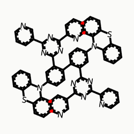 c1ccc(-c2nc(-c3cccnc3)nc(-c3cc(N4c5ccccc5Sc5ccccc54)ccc3-c3ccc(N4c5ccccc5Sc5ccccc54)cc3-c3nc(-c4cccnc4)nc(-c4ccccn4)n3)n2)nc1